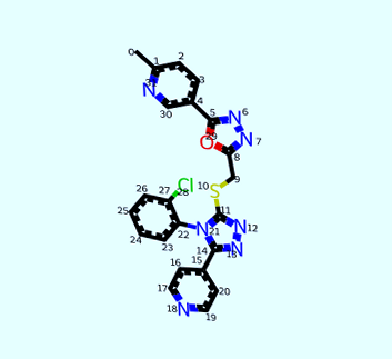 Cc1ccc(-c2nnc(CSc3nnc(-c4ccncc4)n3-c3ccccc3Cl)o2)cn1